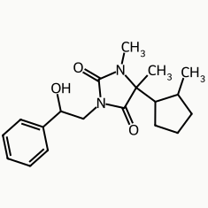 CC1CCCC1C1(C)C(=O)N(CC(O)c2ccccc2)C(=O)N1C